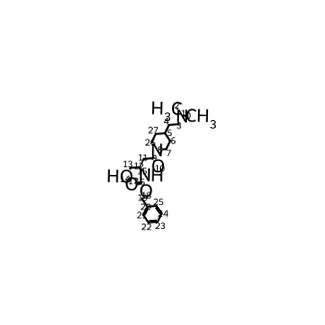 CN(C)CCC1CCN(C(=O)C[C@H](CO)NC(=O)OCc2ccccc2)CC1